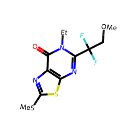 CCn1c(C(F)(F)COC)nc2sc(SC)nc2c1=O